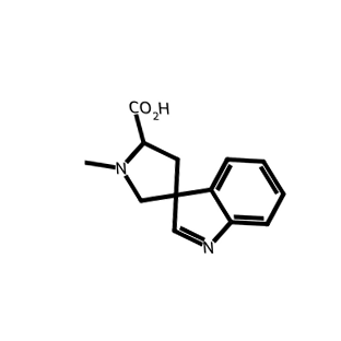 CN1CC2(C=Nc3ccccc32)CC1C(=O)O